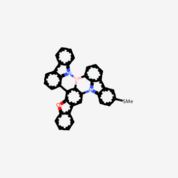 CSc1ccc2c(c1)c1cccc3c1n2-c1cc2c(oc4ccccc42)c2c1B3n1c3ccccc3c3cccc-2c31